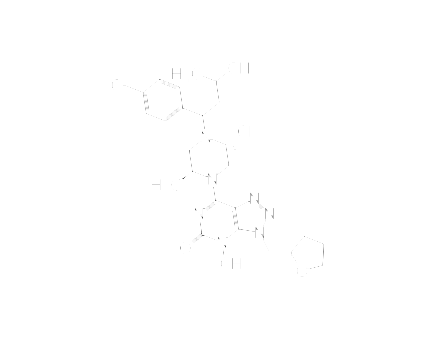 CC(C)CC(c1ccc(Cl)cc1)N1C[C@H](C)N(c2nc(=O)n(C)c3c2nnn3C[C@@H]2CCCO2)C[C@H]1C